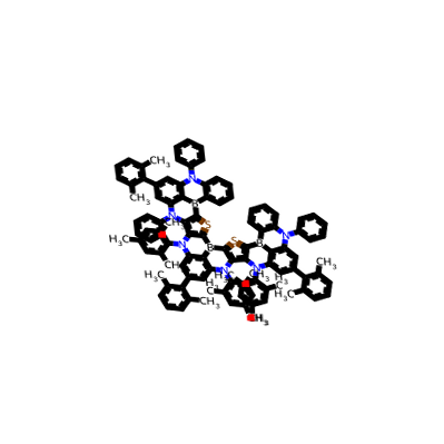 Cc1cc(C)c(N2c3cc(-c4c(C)cccc4C)cc4c3B(c3sc5c(c32)N(c2ccccc2)c2cc(-c3c(C)cccc3C)cc3c2B5c2ccccc2N3c2ccccc2)c2sc3c(c2N4c2c(C)cc(C)cc2C)N(c2c(C)cc(C)cc2C)c2cc(-c4c(C)cccc4C)cc4c2B3c2ccccc2N4c2ccccc2)c(C)c1